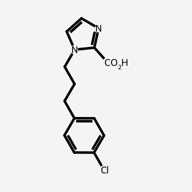 O=C(O)c1nccn1CCCc1ccc(Cl)cc1